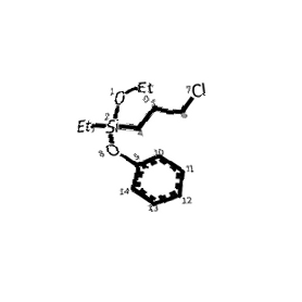 CCO[Si](CC)(CCCCl)Oc1ccccc1